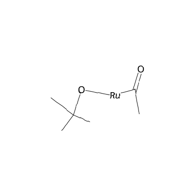 C[C](=O)[Ru][O]C(C)(C)C